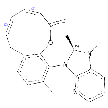 C=C1/C=C\C=C/Cc2ccc(C)c(N3c4ncccc4N(C)[C@@H]3C)c2O1